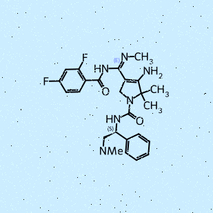 C/N=C(/NC(=O)c1ccc(F)cc1F)C1=C(N)C(C)(C)N(C(=O)N[C@H](CNC)c2ccccc2)C1